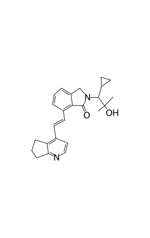 CC(C)(O)C(C1CC1)N1Cc2cccc(C=Cc3ccnc4c3CCC4)c2C1=O